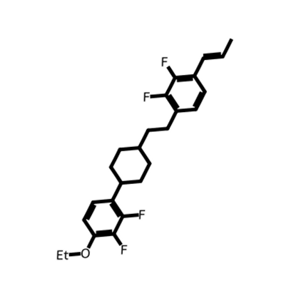 C/C=C/c1ccc(CCC2CCC(c3ccc(OCC)c(F)c3F)CC2)c(F)c1F